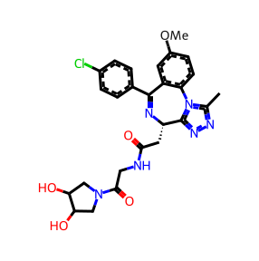 COc1ccc2c(c1)C(c1ccc(Cl)cc1)=N[C@@H](CC(=O)NCC(=O)N1CC(O)C(O)C1)c1nnc(C)n1-2